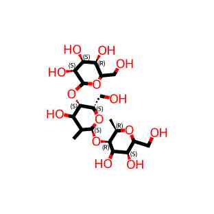 CC1C(O)[C@H](OC2OC(CO)[C@H](O)[C@H](O)[C@@H]2O)[C@H](CO)O[C@H]1O[C@@H]1C(O)[C@H](O)C(CO)O[C@@H]1C